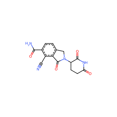 N#Cc1c(C(N)=O)ccc2c1C(=O)N(C1CCC(=O)NC1=O)C2